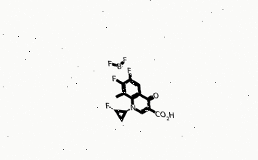 Cc1c(F)c(F)cc2c(=O)c(C(=O)O)cn([C@@H]3C[C@@H]3F)c12.F[B]F